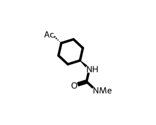 CNC(=O)N[C@H]1CC[C@H](C(C)=O)CC1